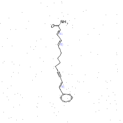 NC(=O)/C=C/C=C/CCCCC#C/C=C/c1ccccc1